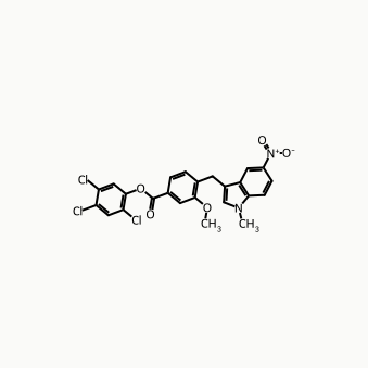 COc1cc(C(=O)Oc2cc(Cl)c(Cl)cc2Cl)ccc1Cc1cn(C)c2ccc([N+](=O)[O-])cc12